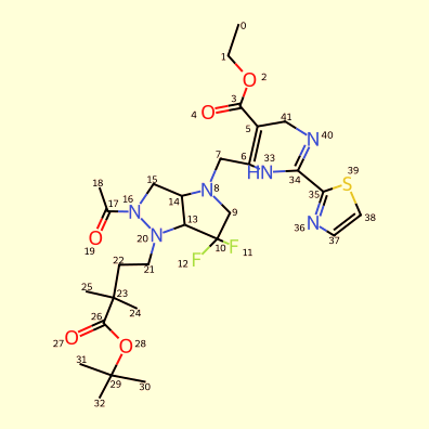 CCOC(=O)C1=C(CN2CC(F)(F)C3C2CN(C(C)=O)N3CCC(C)(C)C(=O)OC(C)(C)C)NC(c2nccs2)=NC1